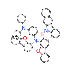 c1ccc(N(c2ccccc2)c2ccc3c(c2)N(c2cccc4c2oc2ccccc24)c2c4c(cc5c2oc2ccccc25)-c2cccc5c6cc7ccccc7cc6n(c25)B34)cc1